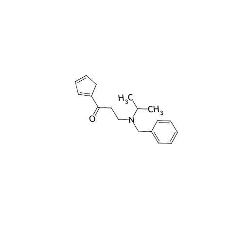 CC(C)N(CCC(=O)C1=CC=CC1)Cc1ccccc1